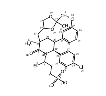 CCC(CCS(=O)(=O)CC)N1C(=O)[C@@](C)(CC2COC(C)(C)O2)CC(c2cccc(Cl)c2)[C@H]1c1ccc(Cl)cc1